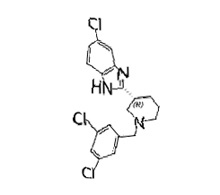 Clc1cc(Cl)cc(CN2CCC[C@@H](c3nc4cc(Cl)ccc4[nH]3)C2)c1